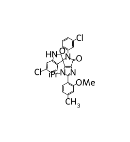 COc1cc(C)ccc1-c1nc2c(n1C(C)C)C1(C(=O)Nc3cc(Cl)ccc31)N(c1cccc(Cl)c1)C2=O